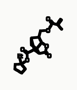 C=C(C)C(=O)OCC1C2CC3C1OC(=O)C3C2C(=O)OC1(CC)CCCC1